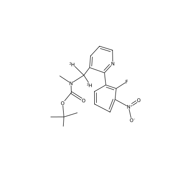 [2H]C([2H])(c1cccnc1-c1cccc([N+](=O)[O-])c1F)N(C)C(=O)OC(C)(C)C